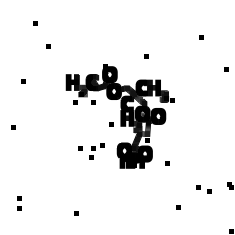 C=CC(=O)OCC(C)(C)COC(=O)CCC(=O)OCCC